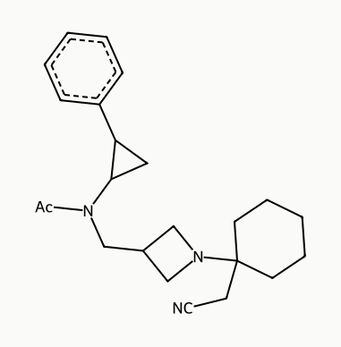 CC(=O)N(CC1CN(C2(CC#N)CCCCC2)C1)C1CC1c1ccccc1